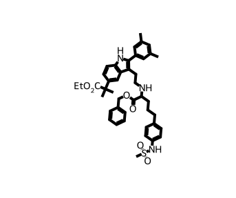 CCOC(=O)C(C)(C)c1ccc2[nH]c(-c3cc(C)cc(C)c3)c(CCNC(CCCc3ccc(NS(C)(=O)=O)cc3)C(=O)OCc3ccccc3)c2c1